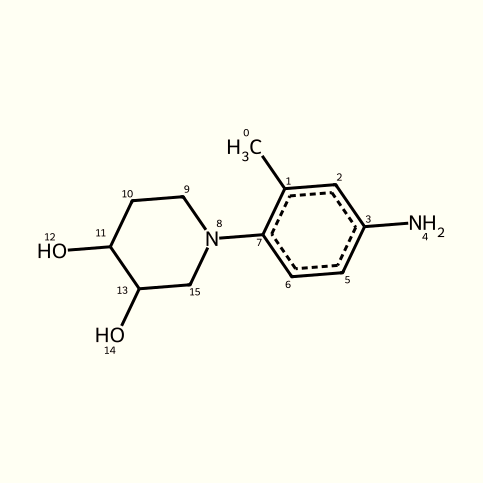 Cc1cc(N)ccc1N1CCC(O)C(O)C1